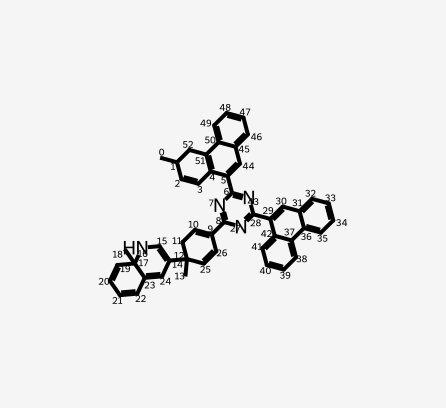 CC1C=Cc2c(-c3nc(C4=CCC(C)(C5=CNC6(C)C=CC=CC6=C5)C=C4)nc(-c4cc5ccccc5c5ccccc45)n3)cc3ccccc3c2C1